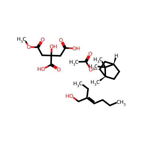 CC(=O)O[C@@H]1C[C@@H]2CC[C@@]1(C)C2(C)C.CCC/C=C(\CC)CO.COC(=O)CC(O)(CC(=O)O)C(=O)O